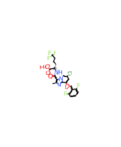 Cc1nc2c(OCc3c(F)cccc3F)cc(Cl)cn2c1C(=O)N[C@@H](CCCC(F)(F)F)C(=O)O